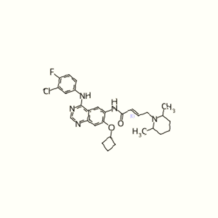 CC1CCCC(C)N1C/C=C/C(=O)Nc1cc2c(Nc3ccc(F)c(Cl)c3)ncnc2cc1OC1CCC1